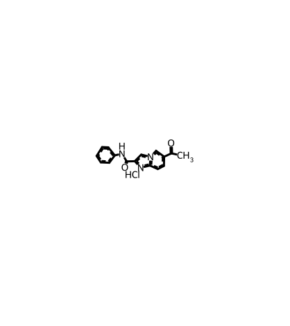 CC(=O)c1ccc2nc(C(=O)Nc3ccccc3)cn2c1.Cl